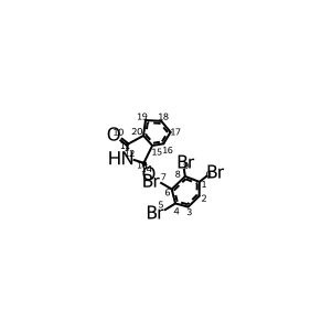 Brc1ccc(Br)c(Br)c1Br.O=C1NC(=O)c2ccccc21